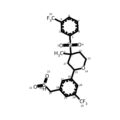 CC1(S(=O)(=O)c2cccc(C(F)(F)F)c2)CCOC(c2cc(C[SH](=O)=O)cc(C(F)(F)F)c2)C1